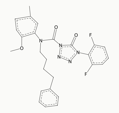 COc1ccc(C)cc1N(CCCCc1ccccc1)C(=O)n1nnn(-c2c(F)cccc2F)c1=O